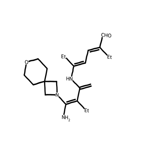 C=C(N/C(=C/C=C(/C=O)CC)CC)/C(CC)=C(/N)N1CC2(CCOCC2)C1